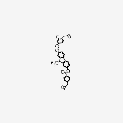 O=C(Oc1ccc2c(c1)C(C(F)(F)F)c1cc(OCOc3ccc(CC4CO4)c(F)c3)ccc1-2)c1ccc(CC2CO2)cc1